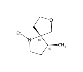 CCN1CC[C@H](C)[C@]12CCOC2